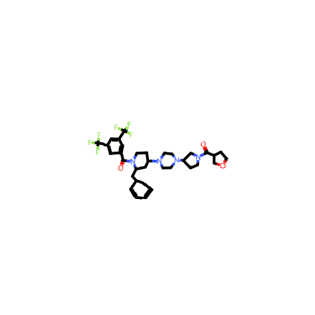 O=C(C1CCOC1)N1CCC(N2CCN(C3CCN(C(=O)c4cc(C(F)(F)F)cc(C(F)(F)F)c4)C(CC4C=CC=CC4)C3)CC2)C1